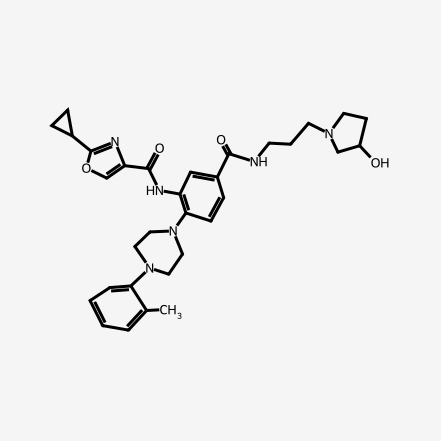 Cc1ccccc1N1CCN(c2ccc(C(=O)NCCCN3CCC(O)C3)cc2NC(=O)c2coc(C3CC3)n2)CC1